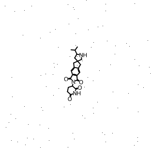 CC(C)C1CC2(CN1)Cc1cc3c(cc1C2)C(=O)N(C1CCC(=O)NC1=O)C3=O